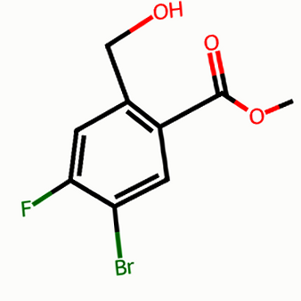 COC(=O)c1cc(Br)c(F)cc1CO